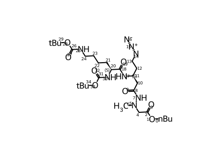 CCCCOC(=O)CN(C)NC(=O)C[C@H](CCN=[N+]=[N-])NC(=O)[C@H](CCCCNC(=O)OC(C)(C)C)NC(=O)OC(C)(C)C